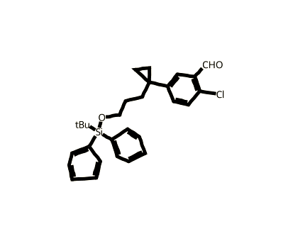 CC(C)(C)[Si](OCCCC1(c2ccc(Cl)c(C=O)c2)CC1)(c1ccccc1)c1ccccc1